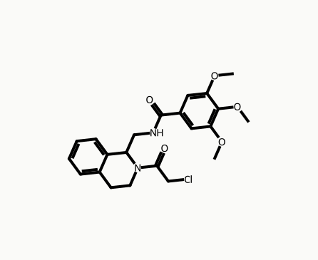 COc1cc(C(=O)NCC2c3ccccc3CCN2C(=O)CCl)cc(OC)c1OC